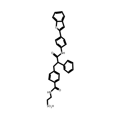 O=C(NCCS(=O)(=O)O)c1ccc(CC(C(=O)Nc2ccc(-c3cc4ccccc4o3)cc2)c2ccccc2)cc1